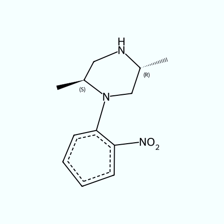 C[C@@H]1CN(c2ccccc2[N+](=O)[O-])[C@@H](C)CN1